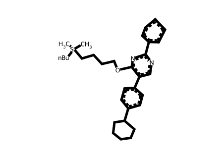 CCCC[Si](C)(C)CCCCOc1nc(-c2ccccc2)ncc1-c1ccc(C2CCCCC2)cc1